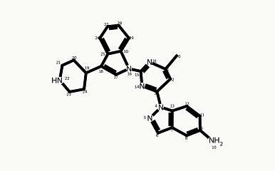 Cc1cc(-n2ncc3cc(N)ccc32)nc(-n2cc(C3CCNCC3)c3ccccc32)n1